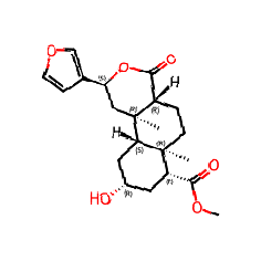 COC(=O)[C@@H]1C[C@H](O)C[C@H]2[C@@]1(C)CC[C@H]1C(=O)O[C@H](c3ccoc3)C[C@]21C